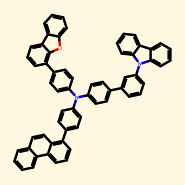 c1cc(-c2ccc(N(c3ccc(-c4cccc5c4ccc4ccccc45)cc3)c3ccc(-c4cccc5c4oc4ccccc45)cc3)cc2)cc(-n2c3ccccc3c3ccccc32)c1